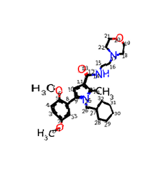 COc1ccc(OC)c(-c2cc(C(=O)NCCN3CCOCC3)c(C)n2CC2CCCCC2)c1